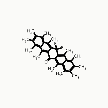 Cc1c(C)c(C)c2c(C)c3c(c(C)c2c1C)C(=O)c1c(c(C)c2c(C)c(C)c(C)c(C)c2c1C)C3(F)F